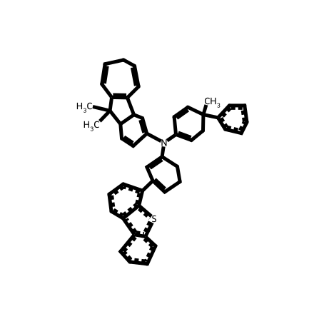 CC1(c2ccccc2)C=CC(N(C2=CC3C4=C(C=CCC=C4)C(C)(C)C3C=C2)C2=CC(c3cccc4c3sc3ccccc34)=CCC2)=CC1